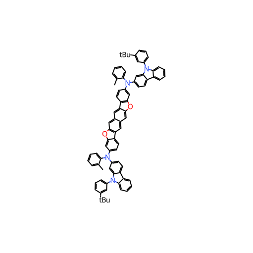 Cc1ccccc1N(c1ccc2c(c1)oc1cc3cc4c(cc3cc12)oc1cc(N(c2ccc3c5ccccc5n(-c5cccc(C(C)(C)C)c5)c3c2)c2ccccc2C)ccc14)c1ccc2c3ccccc3n(-c3cccc(C(C)(C)C)c3)c2c1